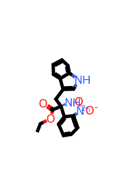 CCOC(=O)[C@](N)(Cc1c[nH]c2ccccc12)c1ccccc1[N+](=O)[O-]